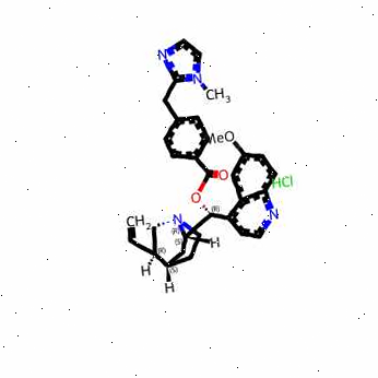 C=C[C@H]1C[N@]2CC[C@H]1C[C@H]2[C@H](OC(=O)c1ccc(Cc2nccn2C)cc1)c1ccnc2ccc(OC)cc12.Cl